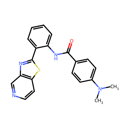 CN(C)c1ccc(C(=O)Nc2ccccc2-c2nc3cnccc3s2)cc1